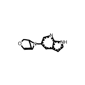 C1=C2CC(CO2)N1c1cnc2[nH]ccc2c1